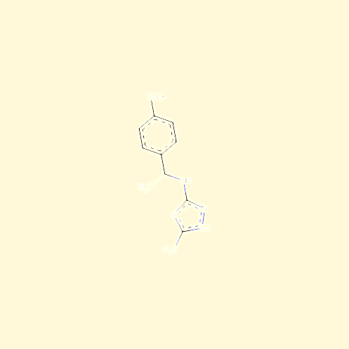 COc1ccc([C@@H](C)Nc2n[nH]c(N)n2)cc1